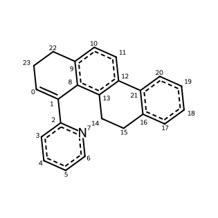 C1=C(c2ccccn2)c2c(ccc3c2CCc2ccccc2-3)CC1